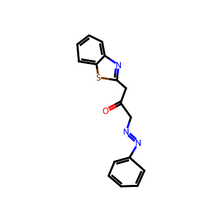 O=C(CN=Nc1ccccc1)Cc1nc2ccccc2s1